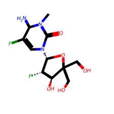 CN1C(=O)N([C@@H]2OC(CO)(CO)[C@@H](O)[C@@H]2F)C=C(F)C1N